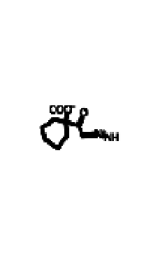 N=[N+]=CC(=O)C1(C(=O)[O-])CCCCC1